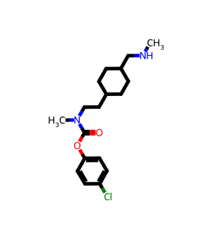 CNCC1CCC(CCN(C)C(=O)Oc2ccc(Cl)cc2)CC1